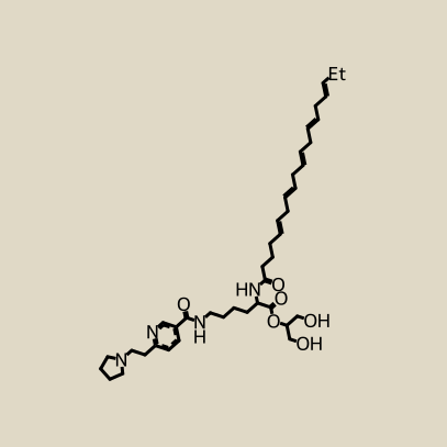 CCC=CCC=CCC=CCC=CCC=CCCCC(=O)NC(CCCCNC(=O)c1ccc(CCN2CCCC2)nc1)C(=O)OC(CO)CO